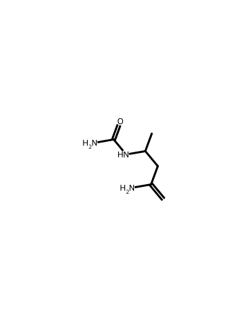 C=C(N)CC(C)NC(N)=O